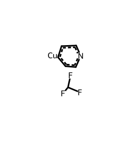 FC(F)F.[Cu].c1ccncc1